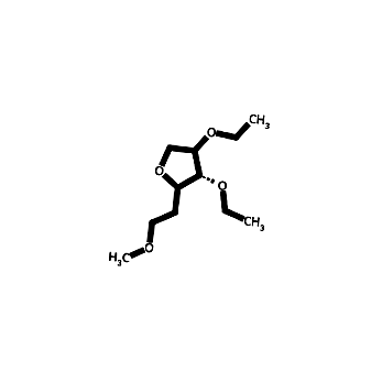 CCOC1COC(CCOC)[C@H]1OCC